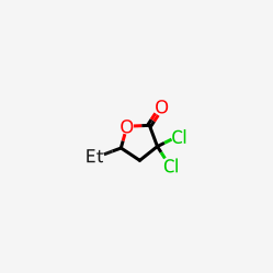 CCC1CC(Cl)(Cl)C(=O)O1